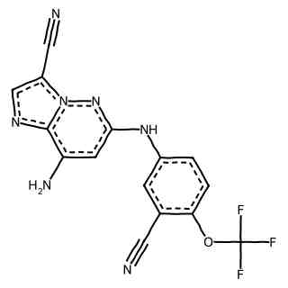 N#Cc1cc(Nc2cc(N)c3ncc(C#N)n3n2)ccc1OC(F)(F)F